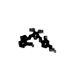 COc1ccc(OC[C@H]2OC(CCn3cnc4ncnc(N)c43)[C@H](O)[C@@H]2O)c(Cl)c1